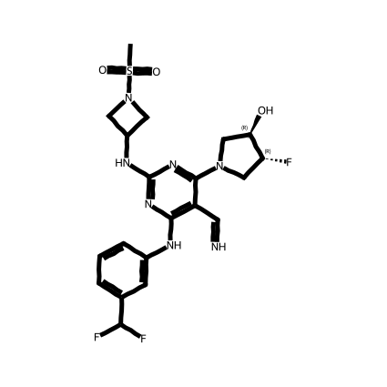 CS(=O)(=O)N1CC(Nc2nc(Nc3cccc(C(F)F)c3)c(C=N)c(N3C[C@@H](O)[C@H](F)C3)n2)C1